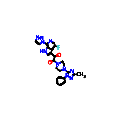 Cc1nc(N2CCN(C(=O)C(=O)c3c[nH]c4c(-n5ccnn5)ncc(F)c34)CC2)n(-c2ccccc2)n1